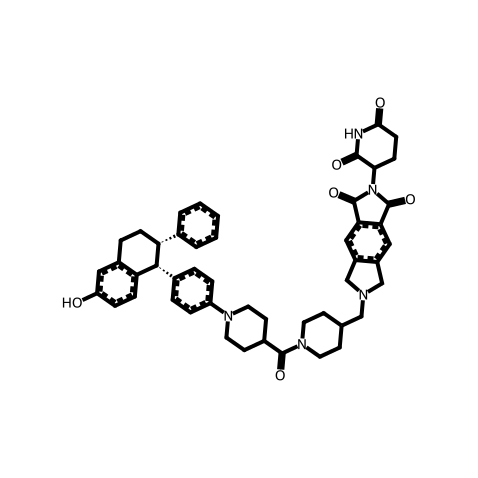 O=C1CCC(N2C(=O)c3cc4c(cc3C2=O)CN(CC2CCN(C(=O)C3CCN(c5ccc([C@@H]6c7ccc(O)cc7CC[C@@H]6c6ccccc6)cc5)CC3)CC2)C4)C(=O)N1